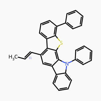 C/C=C/c1cc2c3ccccc3n(-c3ccccc3)c2c2sc3c(-c4ccccc4)cccc3c12